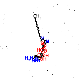 CCCCCCCCCCCCCCCCCCOC[C@H](COP(=O)(O)OC[C@H]1O[C@@](C#N)(c2ccc3c(N)ncnn23)[C@H](O)[C@@H]1O)Oc1cncc(C#N)c1